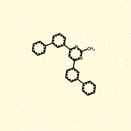 Cc1nc(-c2cccc(-c3ccccc3)c2)cc(-c2cccc(-c3ccccc3)c2)n1